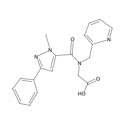 Cn1nc(-c2ccccc2)cc1C(=O)N(CC(=O)O)Cc1ccccn1